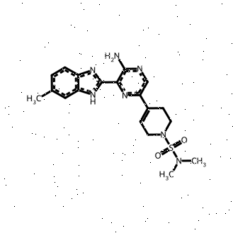 Cc1ccc2nc(-c3nc(C4=CCN(S(=O)(=O)N(C)C)CC4)cnc3N)[nH]c2c1